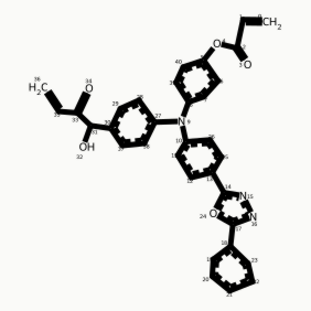 C=CC(=O)Oc1ccc(N(c2ccc(-c3nnc(-c4ccccc4)o3)cc2)c2ccc(C(O)C(=O)C=C)cc2)cc1